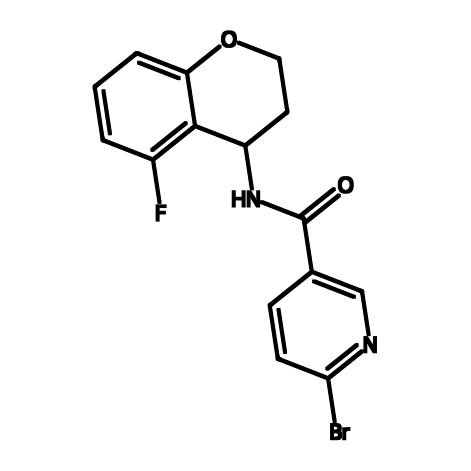 O=C(NC1CCOc2cccc(F)c21)c1ccc(Br)nc1